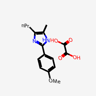 CCCc1nc(-c2ccc(OC)cc2)[nH]c1C.O=C(O)C(=O)O